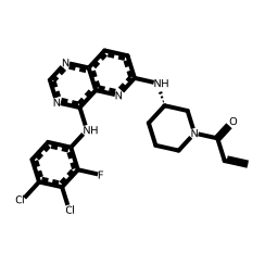 C=CC(=O)N1CCC[C@H](Nc2ccc3ncnc(Nc4ccc(Cl)c(Cl)c4F)c3n2)C1